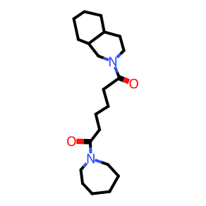 O=C(CCCCC(=O)N1CCC2CCCCC2C1)N1CCCCCC1